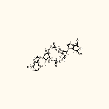 Nc1nc2c(ncn2[C@@H]2S[C@@H]3CO[PH](=O)O[C@H]4[C@H](F)[C@H](n5cnc6c(N)ncnc65)O[C@@H]4CO[PH](=O)O[C@@H]2[C@@H]3F)c(=O)[nH]1